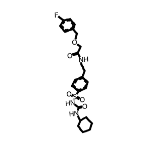 O=C(COCc1ccc(F)cc1)NCCc1ccc(S(=O)(=O)NC(=O)NC2CCCCC2)cc1